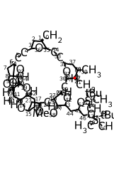 C=C1CC2CC[C@@]34CC5O[C@H]6[C@@H](O3)[C@H]3OC(CC[C@@H]3O[C@H]6[C@H]5O4)CC(=O)C[C@H]3[C@H](C[C@H]4OC(CCC1O2)C[C@@H](C)C4=C)OC(CC(CO[Si](C)(C)C(C)(C)C)O[Si](C)(C)C(C)(C)C)[C@@H]3OC